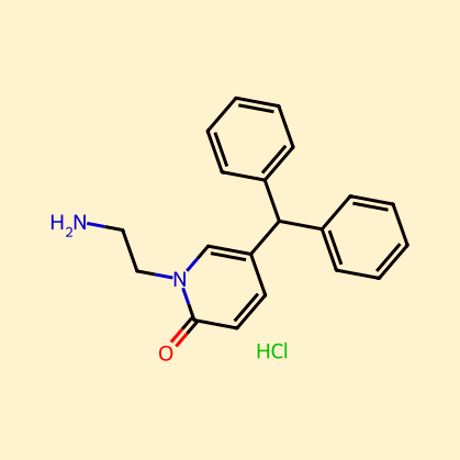 Cl.NCCn1cc(C(c2ccccc2)c2ccccc2)ccc1=O